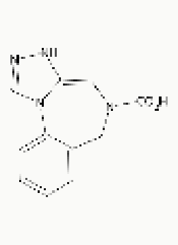 O=C(O)N1C=C2NN=CN2c2ccccc2C1